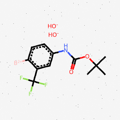 [B+2]c1ccc(NC(=O)OC(C)(C)C)cc1C(F)(F)F.[OH-].[OH-]